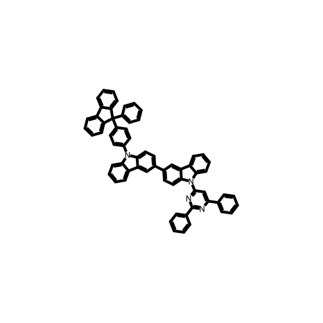 c1ccc(-c2cc(-n3c4ccccc4c4cc(-c5ccc6c(c5)c5ccccc5n6-c5ccc(C6(c7ccccc7)c7ccccc7-c7ccccc76)cc5)ccc43)nc(-c3ccccc3)n2)cc1